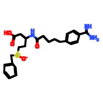 N=C(N)c1ccc(CCCCC(=O)NC(CC[S+]([O-])Cc2ccccc2)CC(=O)O)cc1